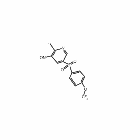 [CH2]c1ncc(S(=O)(=O)c2ccc(OC(F)(F)F)cc2)cc1N=O